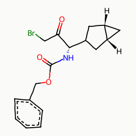 O=C(N[C@H](C(=O)CBr)C1C[C@@H]2C[C@@H]2C1)OCc1ccccc1